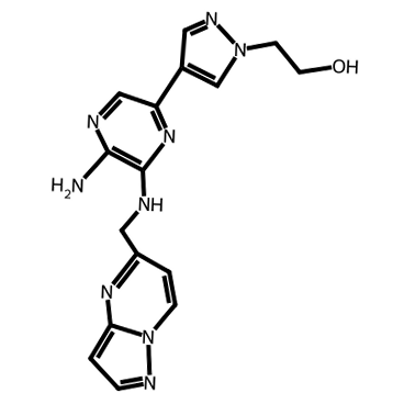 Nc1ncc(-c2cnn(CCO)c2)nc1NCc1ccn2nccc2n1